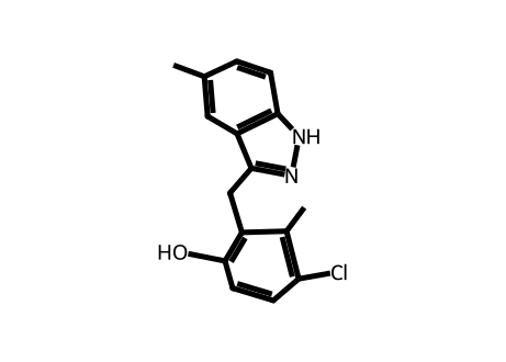 Cc1ccc2[nH]nc(Cc3c(O)ccc(Cl)c3C)c2c1